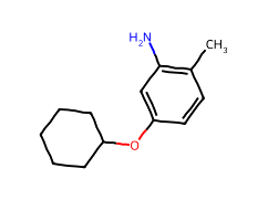 Cc1ccc(OC2CCCCC2)cc1N